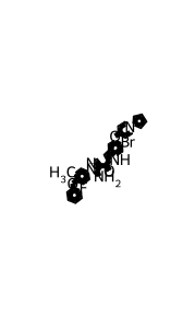 Cc1cc(-n2ncc(C(=O)c3cc4cc(OC5CCN(C6CCCC6)CC5)c(Br)cc4[nH]3)c2N)ccc1Oc1ccccc1F